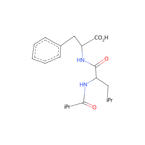 CC(C)CC(NC(=O)C(C)C)C(=O)NC(Cc1ccccc1)C(=O)O